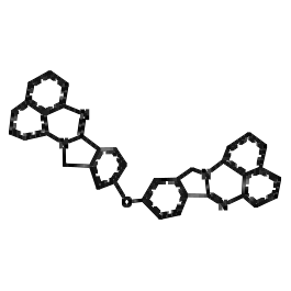 c1cc2c3c(cccc3c1)N1Cc3cc(Oc4ccc5c(c4)CN4C5=Nc5cccc6cccc4c56)ccc3C1=N2